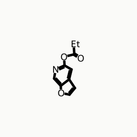 CCC(=O)Oc1cc2ccoc2cn1